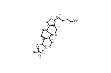 CC(C)CCC[C@@H](C)[C@H]1CCC2C3CC=C4C[C@@H](OS(C)(=O)=O)CC[C@]4(C)C3CC[C@@]21C